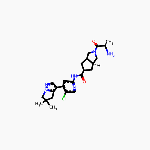 C[C@@H](N)C(=O)N1CC2CC(C(=O)Nc3cc(-c4cnn5c4CC(C)(C)C5)c(Cl)cn3)C[C@@H]2C1